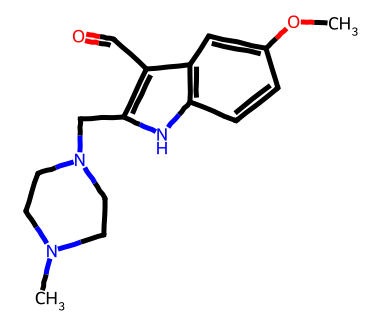 COc1ccc2[nH]c(CN3CCN(C)CC3)c(C=O)c2c1